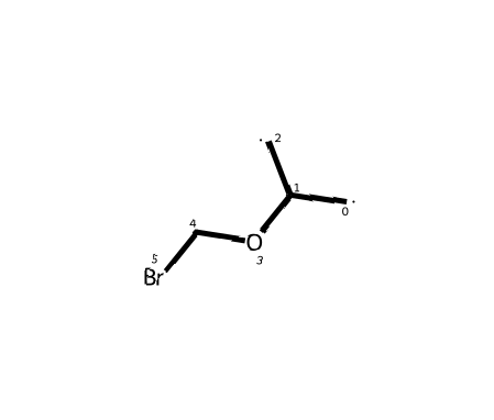 [CH2]C([CH2])OCBr